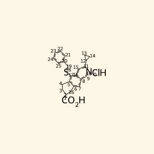 Cl.O=C(O)C1CCc2c(cc3cnc(C4CC4)cc3c2SCc2ccccc2)C1